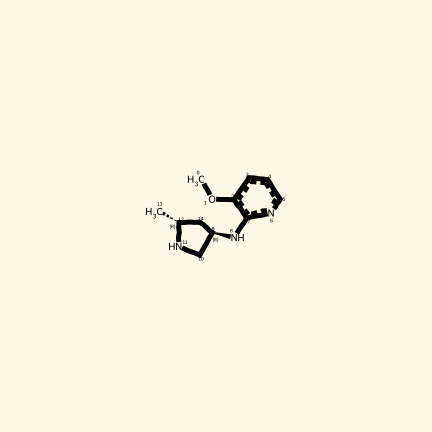 COc1cccnc1N[C@H]1CN[C@H](C)C1